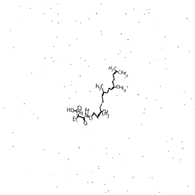 CCC(C(=O)NOCC=C(C)CCC=C(C)CCC=C(C)CCC=C(C)C)[PH](=O)O